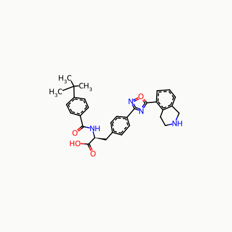 CC(C)(C)c1ccc(C(=O)N[C@@H](Cc2ccc(-c3noc(-c4cccc5c4CCNC5)n3)cc2)C(=O)O)cc1